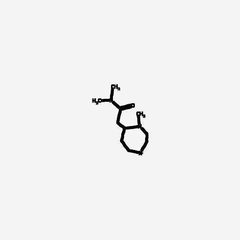 CN(C)C(=O)CC1CC[N]CCN1C